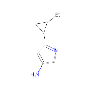 CCC1CC1C1=NCC(N)=C1